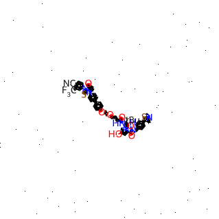 Cc1ncsc1-c1ccc(CNC(=O)[C@@H]2C[C@@H](O)CN2C(=O)[C@@H](NC(=O)CCCOCCOc2ccc(-c3ccc(N4C(=S)N(c5ccc(C#N)c(C(F)(F)F)c5)C(=O)C4(C)C)cc3)cc2)C(C)(C)C)cc1